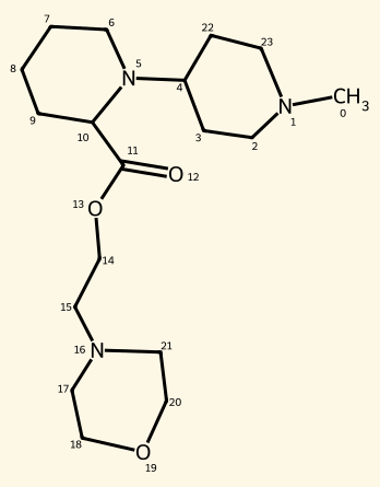 CN1CCC(N2CCCCC2C(=O)OCCN2CCOCC2)CC1